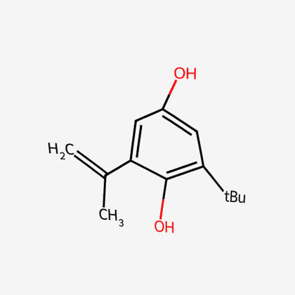 C=C(C)c1cc(O)cc(C(C)(C)C)c1O